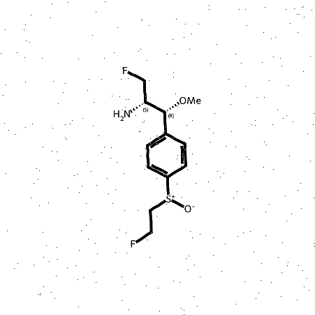 CO[C@H](c1ccc([S+]([O-])CCF)cc1)[C@H](N)CF